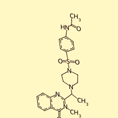 CC(=O)Nc1ccc(S(=O)(=O)N2CCN(C(C)c3nc4ccccc4c(=O)n3C)CC2)cc1